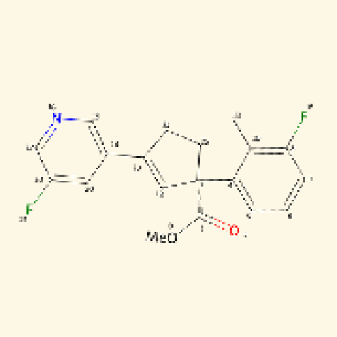 COC(=O)[C@]1(c2cccc(F)c2C)C=C(c2cncc(F)c2)CC1